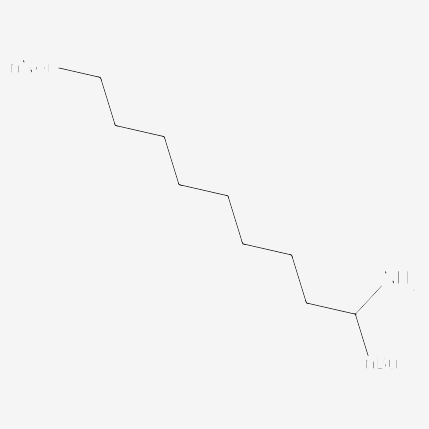 CCCCCCCCCCCCCCCCCC(N)CCCC